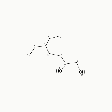 CCC(CC)CCC(O)CO